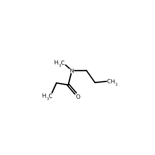 CCCN(C)C(=O)CC